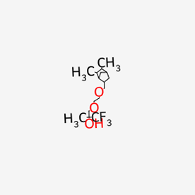 CC1C2CC(COCCOCC(C)(O)C(F)(F)F)C(C2)C1C